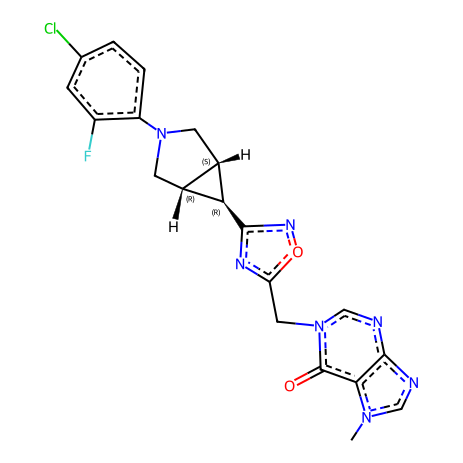 Cn1cnc2ncn(Cc3nc([C@H]4[C@@H]5CN(c6ccc(Cl)cc6F)C[C@@H]54)no3)c(=O)c21